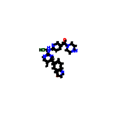 Cc1cnc(Nc2ccc(C(=O)N3CCNCC3)cn2)nc1-c1ccc2ncsc2c1.Cl